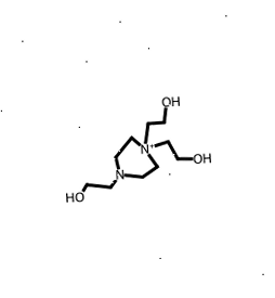 OCCN1CC[N+](CCO)(CCO)CC1